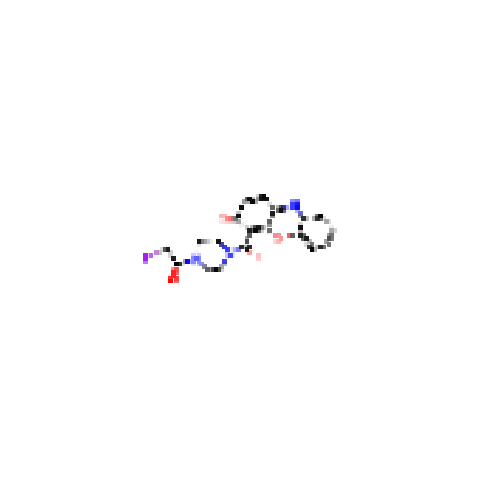 O=C(CI)N1CCN(C(=O)c2c3oc4ccccc4nc-3ccc2=O)CC1